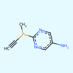 C#CP(C)c1ncc(N)cn1